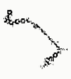 Cc1nc2cc(F)c(-c3cnc(N4CCN(C(=O)COCCn5cc(COCCOCCOCCOCCNC(=O)CC[C@H](OC(=O)C6CCC(NCc7cnc8nc(N)nc(O)c8n7)CC6)C(=O)O)nn5)CC4)nc3)nc2c(N[C@H](C)c2ccccc2F)c1Cl